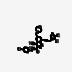 O=C(NCc1ccc(Cl)cc1)c1nnc2c(C#CCn3cnc(Cl)c3Cl)cc(CN3CCOCC3)cc2c1O